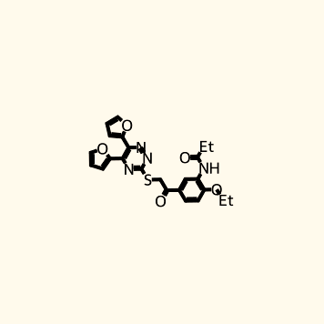 CCOc1ccc(C(=O)CSc2nnc(-c3ccco3)c(-c3ccco3)n2)cc1NC(=O)CC